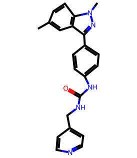 Cc1ccc2c(c1)c(-c1ccc(NC(=O)NCc3ccncc3)cc1)nn2C